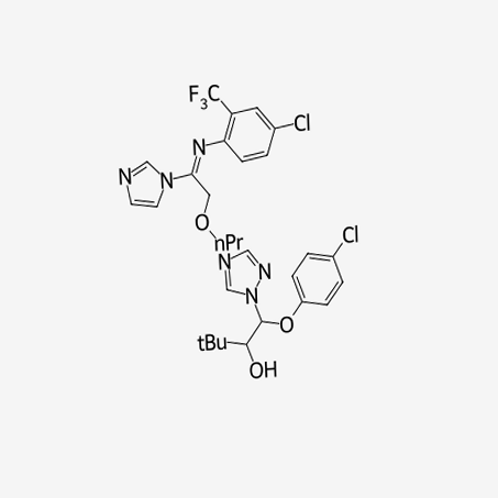 CC(C)(C)C(O)C(Oc1ccc(Cl)cc1)n1cncn1.CCCOC/C(=N\c1ccc(Cl)cc1C(F)(F)F)n1ccnc1